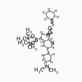 CN(C)c1ccc(-c2cnc3c(c2)c(B2OC(C)(C)C(C)(C)O2)cn3OOSc2ccccc2)cc1